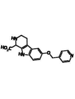 O=C(O)C1NCCc2c1[nH]c1ccc(OCc3ccncc3)cc21